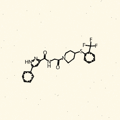 O=C(NCC(=O)N1CCC(Sc2ccccc2C(F)(F)F)CC1)c1cc(-c2ccccc2)[nH]n1